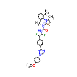 Cc1cccc(C)c1-n1c(C)cs/c1=N\C(=O)NC(F)C(F)c1ccc(-c2ncn(-c3ccc(OC(F)(F)F)cc3)n2)cc1